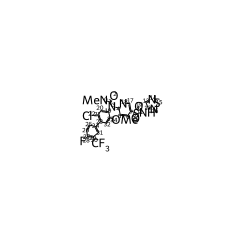 CNC(=O)N(c1ccc(S(=O)(=O)Nc2cnsn2)cn1)c1cc(Cl)c(-c2ccc(F)c(C(F)(F)F)c2)cc1OC